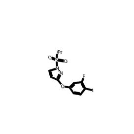 CC(C)S(=O)(=O)n1ccc(Oc2ccc(I)c(F)c2)n1